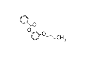 CCCCOc1cccc(OC(=O)c2ccccc2)c1